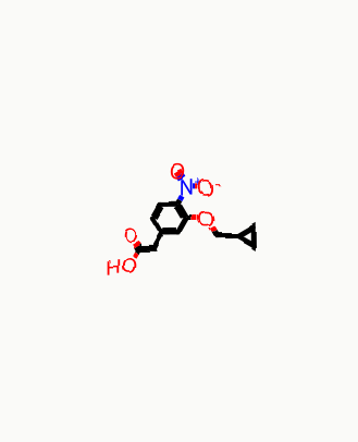 O=C(O)Cc1ccc([N+](=O)[O-])c(OCC2CC2)c1